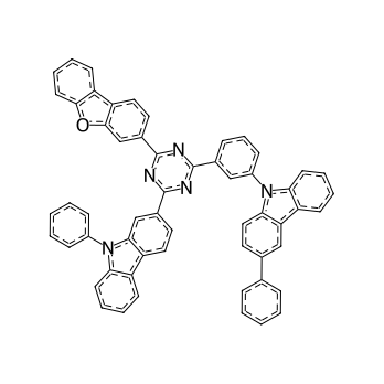 c1ccc(-c2ccc3c(c2)c2ccccc2n3-c2cccc(-c3nc(-c4ccc5c(c4)oc4ccccc45)nc(-c4ccc5c6ccccc6n(-c6ccccc6)c5c4)n3)c2)cc1